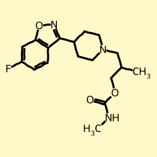 CNC(=O)OCC(C)CN1CCC(c2noc3cc(F)ccc23)CC1